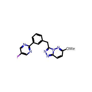 COc1ccc2nnc(Cc3cccc(-c4ncc(I)cn4)c3)n2n1